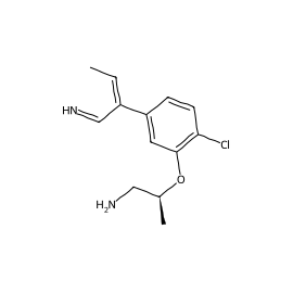 C/C=C(\C=N)c1ccc(Cl)c(O[C@@H](C)CN)c1